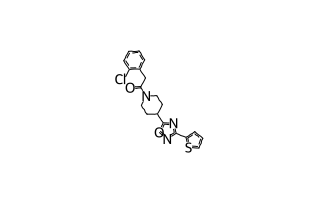 O=C(Cc1ccccc1Cl)N1CCC(c2nc(-c3cccs3)no2)CC1